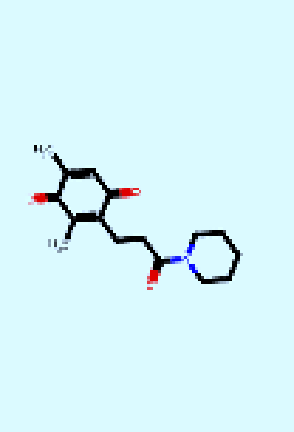 CC1=CC(=O)C(CCC(=O)N2CCCCC2)=C(C)C1=O